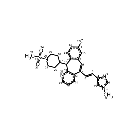 Cn1cnc(/C=C/C2=Cc3cc(Cl)ccc3C(C3CCN(S(C)(=O)=O)CC3)c3ncccc32)c1